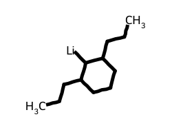 [Li][CH]1C(CCC)CCCC1CCC